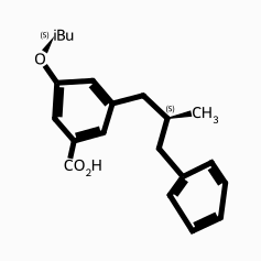 CC[C@H](C)Oc1cc(C[C@@H](C)Cc2ccccc2)cc(C(=O)O)c1